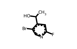 CC(O)c1cc(F)ncc1Br